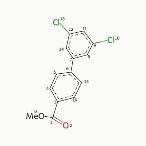 COC(=O)c1ccc(-c2cc(Cl)cc(Cl)c2)cc1